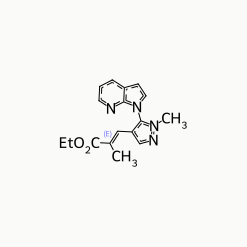 CCOC(=O)/C(C)=C/c1cnn(C)c1-n1ccc2cccnc21